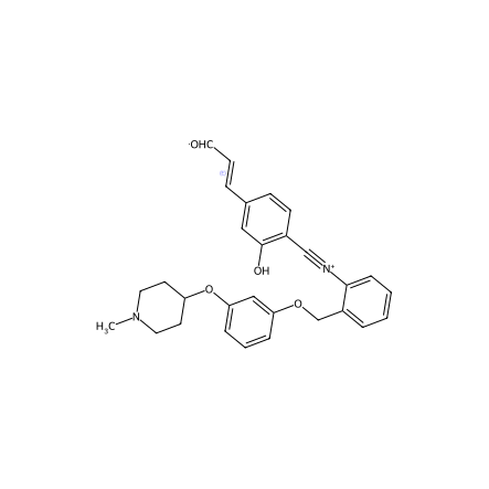 CN1CCC(Oc2cccc(OCc3ccccc3[N+]#Cc3ccc(/C=C/[C]=O)cc3O)c2)CC1